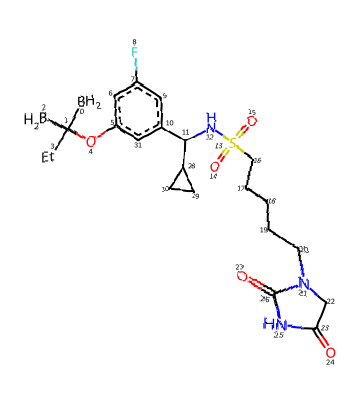 BC(B)(CC)Oc1cc(F)cc(C(NS(=O)(=O)CCCCCN2CC(=O)NC2=O)C2CC2)c1